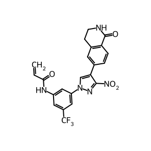 C=CC(=O)Nc1cc(-n2cc(-c3ccc4c(c3)CCNC4=O)c([N+](=O)[O-])n2)cc(C(F)(F)F)c1